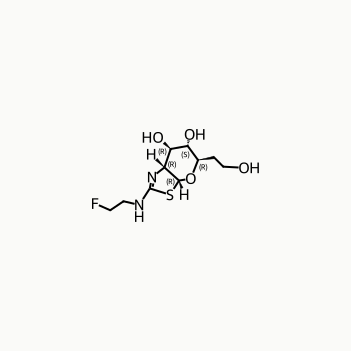 OCC[C@H]1O[C@@H]2SC(NCCF)=N[C@@H]2[C@@H](O)[C@@H]1O